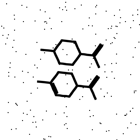 C=C(C)C1CC=C(C)CC1.C=C(C)C1CCC(C)CC1